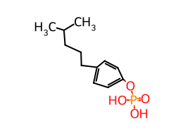 CC(C)CCCc1ccc(OP(=O)(O)O)cc1